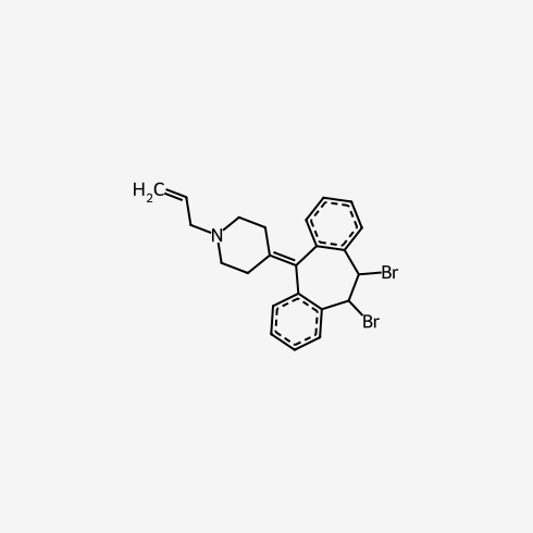 C=CCN1CCC(=C2c3ccccc3C(Br)C(Br)c3ccccc32)CC1